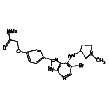 CNC(=O)COc1ccc(-c2nc3c(NC4CCN(C)C4)c(Br)cnc3[nH]2)cc1